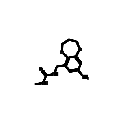 CNC(=O)NCc1cc(N)cc2c1OCCCO2